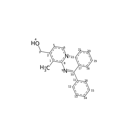 Cc1c(CO)ccnc1N=C(c1ccccc1)c1ccccc1